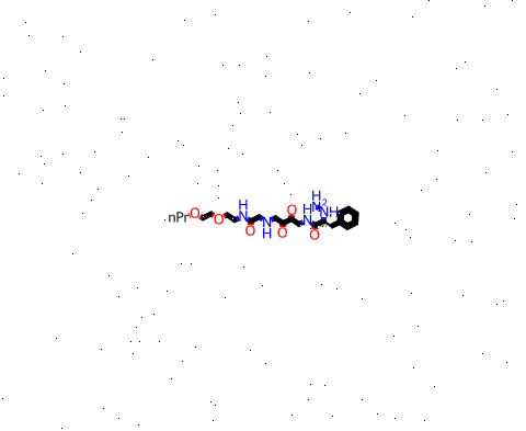 CCCOCCOCCNC(=O)CNCC(=O)C(=O)CNC(=O)[C@H](Cc1ccccc1)NN